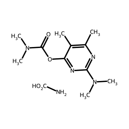 Cc1nc(N(C)C)nc(OC(=O)N(C)C)c1C.NC(=O)O